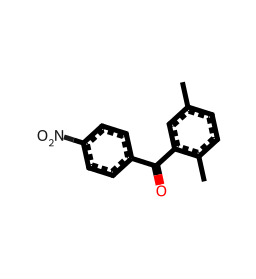 Cc1ccc(C)c(C(=O)c2ccc([N+](=O)[O-])cc2)c1